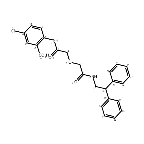 O=C(COCC(=O)Nc1ccc(Cl)cc1C(=O)O)NCC(c1ccccc1)c1ccccc1